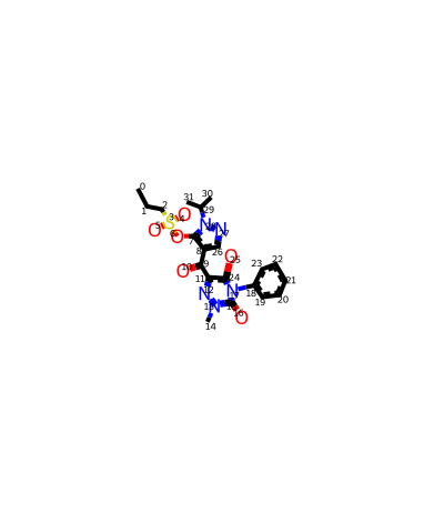 CCCS(=O)(=O)Oc1c(C(=O)c2nn(C)c(=O)n(-c3ccccc3)c2=O)cnn1C(C)C